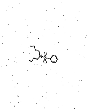 CCCCN(CCCC)S(=O)(=O)c1cc[c]cc1